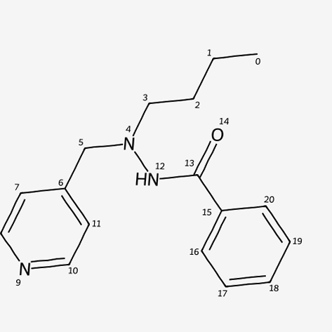 CCCCN(Cc1ccncc1)NC(=O)c1ccccc1